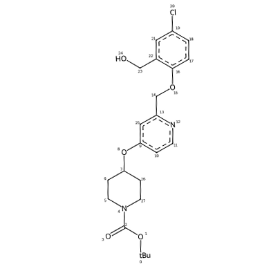 CC(C)(C)OC(=O)N1CCC(Oc2ccnc(COc3ccc(Cl)cc3CO)c2)CC1